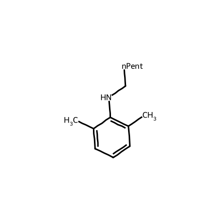 CCCCCCNc1c(C)cccc1C